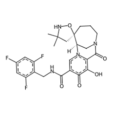 CC1(C)C[C@@]2(CCCN3C[C@H]2n2cc(C(=O)NCc4c(F)cc(F)cc4F)c(=O)c(O)c2C3=O)ON1